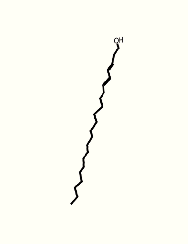 CCCCCCCCCCCCCCCC/C=C/C=C/CCO